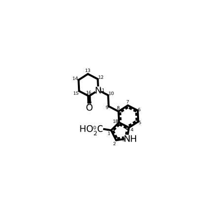 O=C(O)c1c[nH]c2cccc(CCN3CCCCC3=O)c12